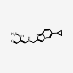 NN/C(C=O)=C\NCc1cn2cc(C3CC3)ccc2n1